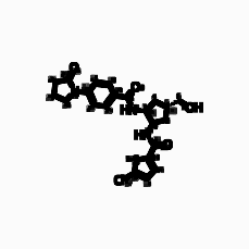 O=C(N[C@H]1C[C@H](CO)C[C@H]1NC(=O)c1ccc(Cl)s1)c1ccc(N2CCCC2=O)cc1